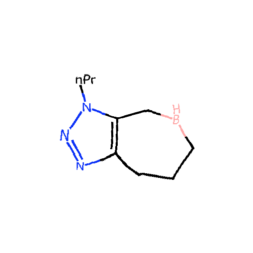 CCCn1nnc2c1CBCCC2